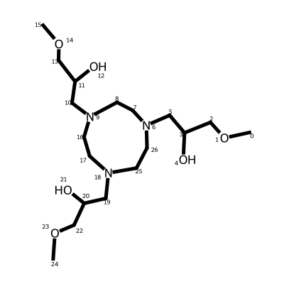 COCC(O)CN1CCN(CC(O)COC)CCN(CC(O)COC)CC1